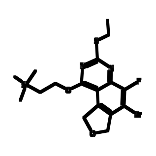 CCSc1nc(OCC[Si](C)(C)C)c2c3c(c(Br)c(F)c2n1)COC3